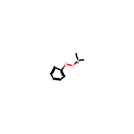 C[SiH](C)OOc1ccccc1